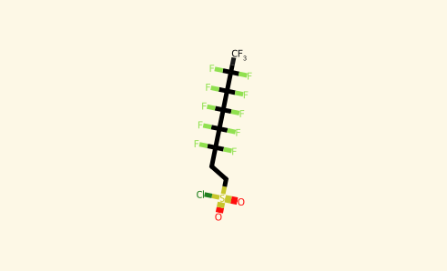 O=S(=O)(Cl)CCC(F)(F)C(F)(F)C(F)(F)C(F)(F)C(F)(F)C(F)(F)F